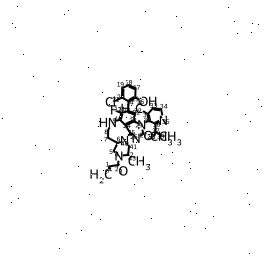 C=CC(=O)N1CC2CCNc3c(F)c(-c4c(O)cccc4Cl)cc4c3c(nc(=O)n4-c3c(C)ccnc3C(C)C)N2CC1C